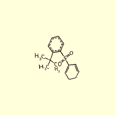 CC(C)(C)c1ccccc1S(=O)(=O)C1=CC[CH]C=C1